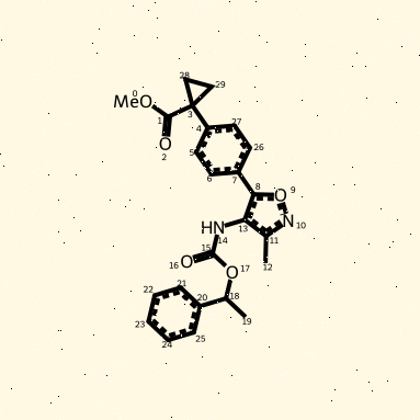 COC(=O)C1(c2ccc(-c3onc(C)c3NC(=O)OC(C)c3ccccc3)cc2)CC1